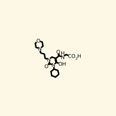 O=C(O)CNC(=O)C1=C(O)N(C2CCCCC2)C(=O)N(CCCN2CCOCC2)C1